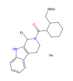 CCC1c2[nH]c3ccccc3c2CCN1C(=O)C1CCCCC1CNC.[Fe]